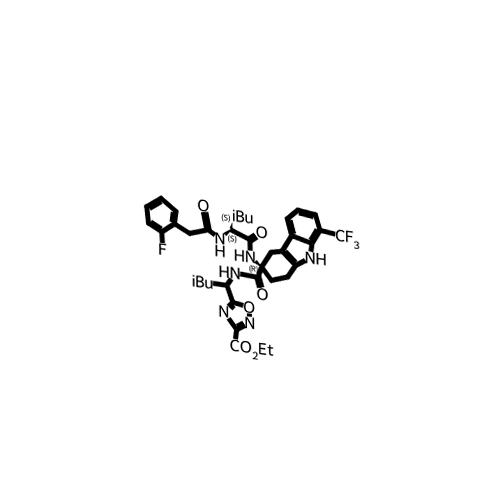 CCOC(=O)c1noc(C(NC(=O)[C@@]2(NC(=O)[C@@H](NC(=O)Cc3ccccc3F)[C@@H](C)CC)CCc3[nH]c4c(C(F)(F)F)cccc4c3C2)C(C)CC)n1